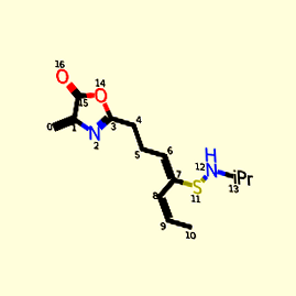 C=C1N=C(CC/C=C(\C=C/C)SNC(C)C)OC1=O